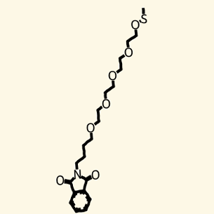 CSOCCOCCOCCOCCOCCCCN1C(=O)c2ccccc2C1=O